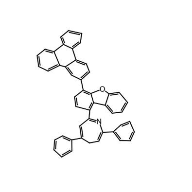 C1=C(c2ccccc2)CC=C(c2ccccc2)N=C1c1ccc(-c2ccc3c4ccccc4c4ccccc4c3c2)c2oc3ccccc3c12